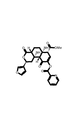 COC(=O)[C@@H]1C=C(OC(=O)c2ccccn2)C(=O)[C@H]2[C@@]1(N)CC[C@H]1C(=O)O[C@H](c3ccoc3)C[C@]21N